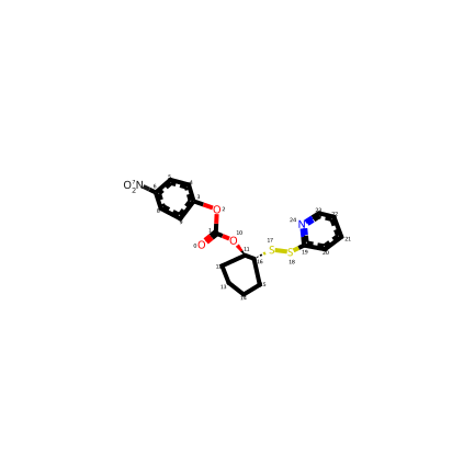 O=C(Oc1ccc([N+](=O)[O-])cc1)O[C@@H]1CCCC[C@H]1SSc1ccccn1